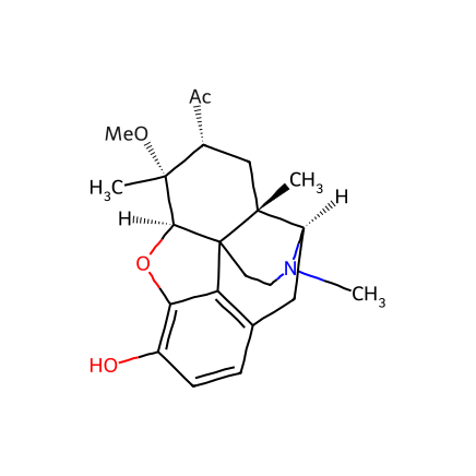 CO[C@@]1(C)[C@@H]2Oc3c(O)ccc4c3C23CCN(C)[C@H](C4)[C@@]3(C)C[C@H]1C(C)=O